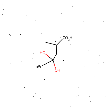 CCCC(O)(O)CC(C)C(=O)O